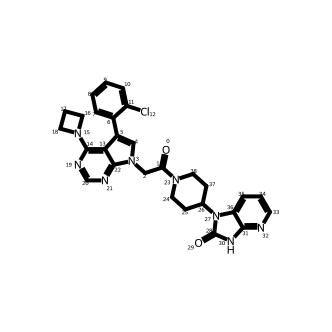 O=C(Cn1cc(-c2ccccc2Cl)c2c(N3CCC3)ncnc21)N1CCC(n2c(=O)[nH]c3ncccc32)CC1